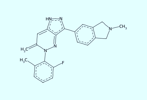 C=C1C=c2[nH]nc(-c3ccc4c(c3)CN(C)C4)c2=NN1c1c(C)cccc1F